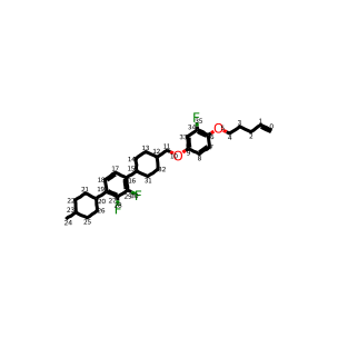 C=CCCCOc1ccc(OCC2CCC(c3ccc(C4CCC(C)CC4)c(F)c3F)CC2)cc1F